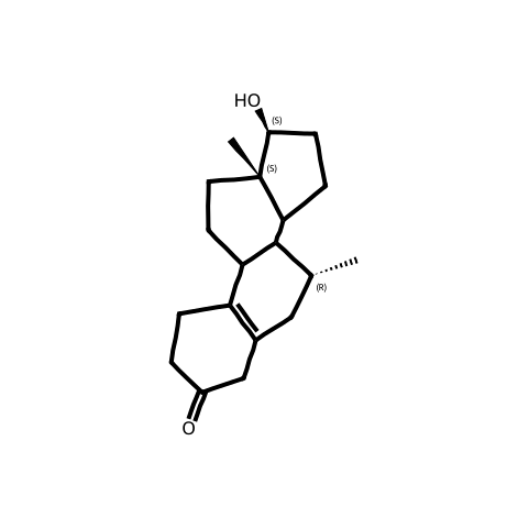 C[C@@H]1CC2=C(CCC(=O)C2)C2CC[C@@]3(C)C(CC[C@@H]3O)C21